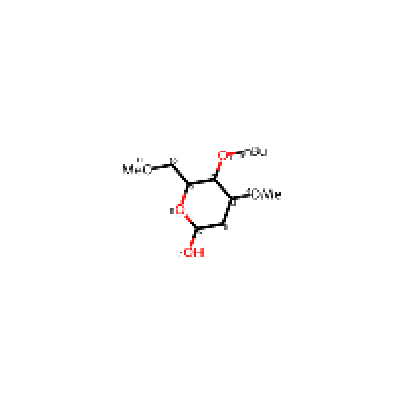 CCCCOC1C(OC)CC(O)OC1COC